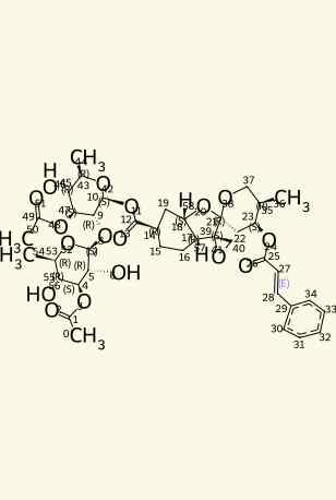 CC(=O)O[C@@H]1[C@@H](O)[C@H](O[C@H]2[C@H](OC(=O)[C@@H]3CC[C@@H]4[C@H](C3)O[C@]3(C[C@H](OC(=O)/C=C/c5ccccc5)[C@H](C)CO3)[C@@]43CO3)O[C@H](C)[C@@H](O)[C@@H]2OC(C)=O)O[C@H](C)[C@H]1O